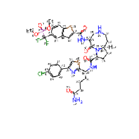 CCOP(=O)(OCC)C(F)(F)c1ccc2sc(C(=O)N[C@H]3CNCC[C@H]4CC[C@@H](C(=O)N[C@@H](CCCC(N)=O)c5nc(-c6ccc(Cl)cc6)cs5)N4C3=O)cc2c1